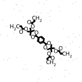 C=CC(=O)OCC1(COC(=O)C=C)COC(c2ccc(C3OCC(COC(=O)C=C)(COC(=O)C=C)CO3)cc2)OC1